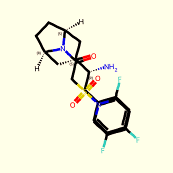 N[C@H](Cc1cc(F)c(F)cc1F)[C@@H]1C[C@H]2CC[C@@H](C1)N2C(=O)CS(=O)(=O)N1CCCCC1